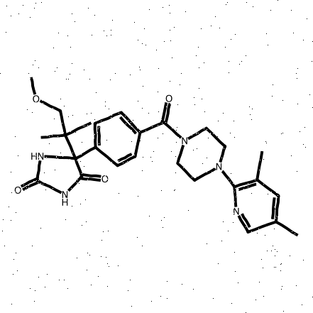 COCC(C)(C)C1(c2ccc(C(=O)N3CCN(c4ncc(C)cc4C)CC3)cc2)NC(=O)NC1=O